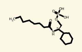 CCCCCCCC(=O)N[C@@H](COP(=O)(O)O)C1CCCCC1